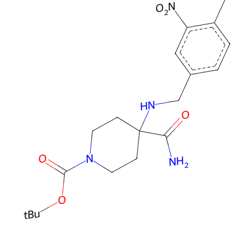 Cc1ccc(CNC2(C(N)=O)CCN(C(=O)OC(C)(C)C)CC2)cc1[N+](=O)[O-]